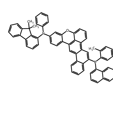 Cc1ccccc1B(c1cccc2ccccc12)c1cc2c3cccc4c3c(cc2c2ccccc12)-c1ccc(N(c2ccccc2)c2cccc3c2C(C)(C)c2ccccc2-3)cc1O4